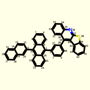 c1cc(-c2c3ccccc3c(-c3ccc4ccccc4c3)c3ccccc23)cc(-c2c3ccccc3nc3sc4ccccc4c23)c1